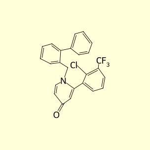 O=c1ccn(Cc2ccccc2-c2ccccc2)c(-c2cccc(C(F)(F)F)c2Cl)c1